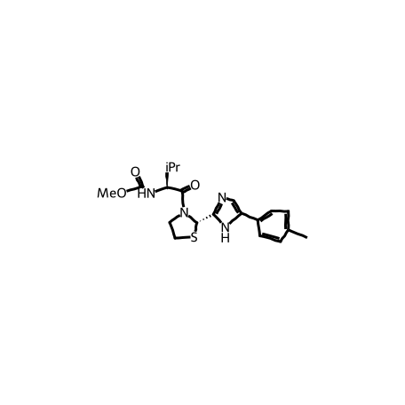 COC(=O)N[C@H](C(=O)N1CCS[C@H]1c1ncc(-c2ccc(C)cc2)[nH]1)C(C)C